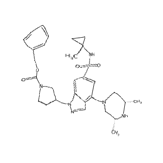 C[C@@H]1CN(c2cc(S(=O)(=O)NC3(C)CC3)cc3c2cnn3C2CCN(C(=O)OCc3ccccc3)C2)C[C@H](C)N1